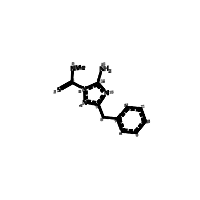 CNC(=S)n1nc(Cc2ccccc2)nc1N